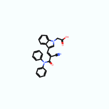 N#C/C(=C\c1cn(CC(=O)O)c2ccccc12)C(=O)N(c1ccccc1)c1ccccc1